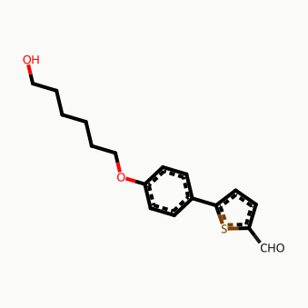 O=Cc1ccc(-c2ccc(OCCCCCCO)cc2)s1